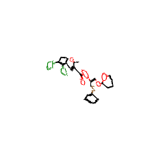 CC(=O)C(=Cc1cccc(Cl)c1Cl)C(=O)OC(COC1CCCCO1)CSc1ccccc1